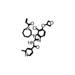 C=CC(=O)N1CCCC[C@@H](n2c(NC(=O)c3ccnc(C)c3)nc3ccc(OC4COC4)c(Cl)c32)C1